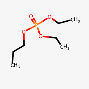 CCCOP(=O)(OCC)OCC